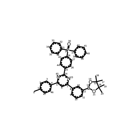 Cc1ccc(-c2cc(-c3cccc(B4OC(C)(C)C(C)(C)O4)c3)nc(-c3ccc(P(=O)(c4ccccc4)c4ccccc4)cc3)n2)cc1